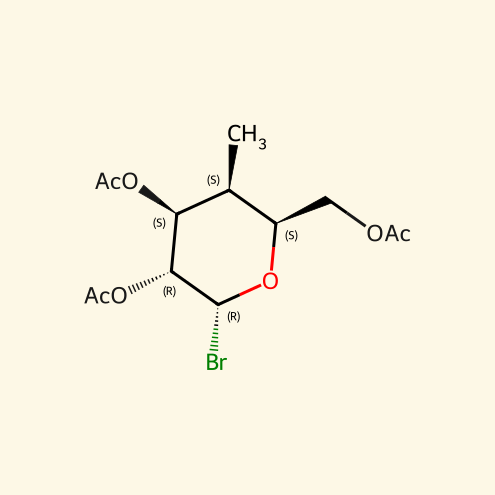 CC(=O)OC[C@H]1O[C@H](Br)[C@H](OC(C)=O)[C@@H](OC(C)=O)[C@H]1C